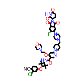 CC1(C)[C@H](NC(=O)c2cnc(N3CCC(CN4CCN(c5cc6c(cc5F)C(=O)N(C5CCC(=O)NC5=O)C6=O)CC4)CC3)cc2OCCN2CCOCC2)C(C)(C)[C@H]1Oc1ccc(C#N)c(Cl)c1